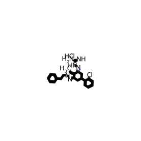 Cc1c2c(nn1CCc1ccccc1)CC(c1ccccc1Cl)C/C2=N/NC(=N)N.Cl